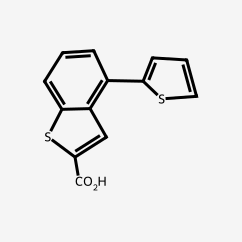 O=C(O)c1cc2c(-c3cccs3)cccc2s1